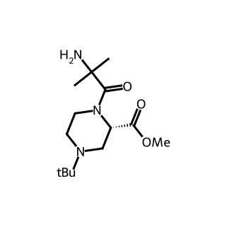 COC(=O)[C@@H]1CN(C(C)(C)C)CCN1C(=O)C(C)(C)N